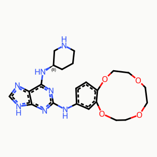 c1nc2c(N[C@@H]3CCCNC3)nc(Nc3ccc4c(c3)OCCOCCOCCO4)nc2[nH]1